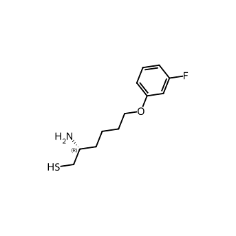 N[C@@H](CS)CCCCOc1cccc(F)c1